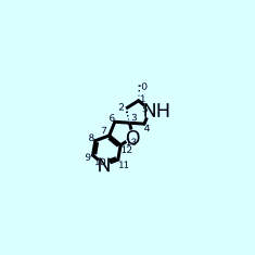 C[C@H]1C[C@@]2(CN1)Cc1ccncc1O2